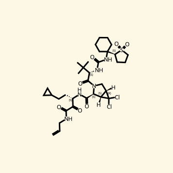 C=CCNC(=O)C(=O)[C@H](CCC1CC1)NC(=O)[C@@H]1[C@@H]2[C@H](CN1C(=O)[C@@H](NC(=O)NC1([C@@H]3CCCS3(=O)=O)CCCCC1)C(C)(C)C)C2(Cl)Cl